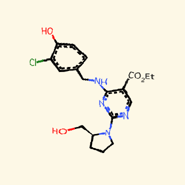 CCOC(=O)c1cnc(N2CCC[C@H]2CO)nc1NCc1ccc(O)c(Cl)c1